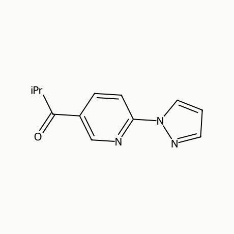 CC(C)C(=O)c1ccc(-n2cccn2)nc1